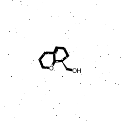 OC[C@@H]1CCC=C2CCCOC21